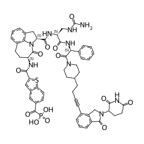 NC(=O)NC[C@H](NC(=O)[C@@H]1Cc2cccc3c2N1C(=O)[C@@H](NC(=O)c1cc2cc(C(=O)P(=O)(O)O)ccc2s1)CC3)C(=O)N[C@H](C(=O)N1CCC(CCC#Cc2cccc3c2CN(C2CCC(=O)NC2=O)C3=O)CC1)c1ccccc1